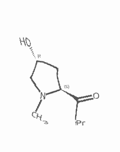 CC(C)C(=O)[C@@H]1C[C@@H](O)CN1C